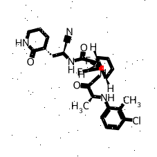 Cc1c(Cl)cccc1N[C@@H](C)C(=O)N1[C@H]2CC[C@@H]([C@H]1C(=O)N[C@H](C#N)C[C@H]1CCCNC1=O)C(F)(F)C2